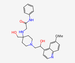 COc1ccc2nccc(C(O)CN3CCC(CO)(NCC(=O)Nc4ccccc4)CC3)c2c1